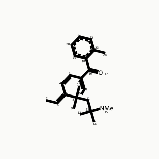 C\C=C(/C=C\C(=C/C)C(C)(C)CC(C)(C)NC)C(=O)c1ccccc1C